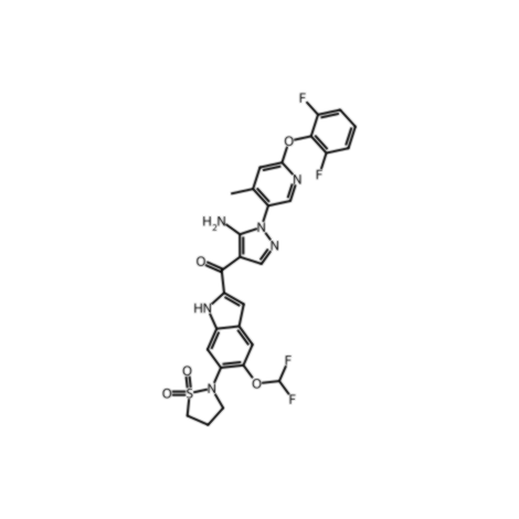 Cc1cc(Oc2c(F)cccc2F)ncc1-n1ncc(C(=O)c2cc3cc(OC(F)F)c(N4CCCS4(=O)=O)cc3[nH]2)c1N